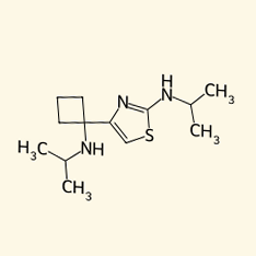 CC(C)Nc1nc(C2(NC(C)C)CCC2)cs1